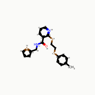 Cc1ccc(SCCSc2ncccc2C(=O)NCc2cccs2)cc1